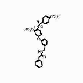 O=C(Cc1ccccc1)NCc1cccc(Oc2ccc(NS(=O)(=O)c3ccc(C(=O)O)cc3)c(C(=O)O)c2)c1